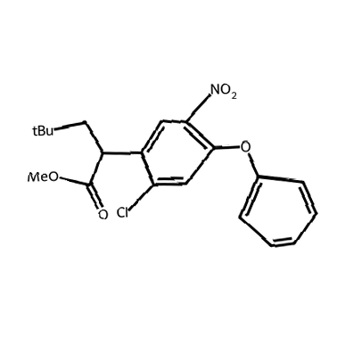 COC(=O)C(CC(C)(C)C)c1cc([N+](=O)[O-])c(Oc2ccccc2)cc1Cl